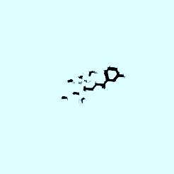 CCOC[PH](=O)C(CCC(=O)c1cccc(F)c1)P(=O)(OCC)OCC